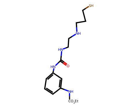 CCOC(=O)Nc1cccc(NC(=O)NCCNCCCS)c1